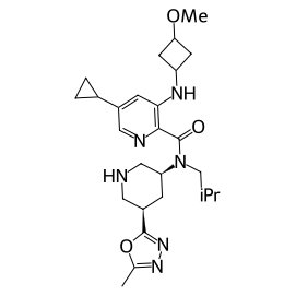 COC1CC(Nc2cc(C3CC3)cnc2C(=O)N(CC(C)C)[C@@H]2CNC[C@H](c3nnc(C)o3)C2)C1